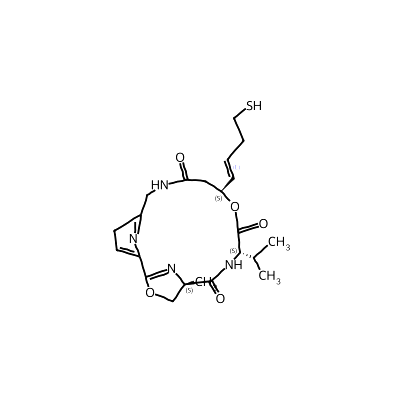 CC(C)[C@@H]1NC(=O)[C@]2(C)COC(=N2)C2=CCC(=N2)CNC(=O)C[C@@H](/C=C/CCS)OC1=O